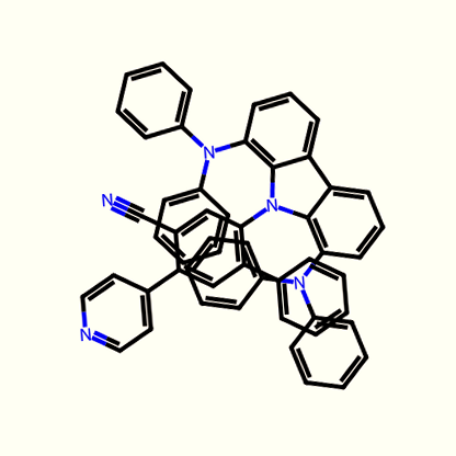 N#Cc1cc(-n2c3c(N(c4ccccc4)c4ccccc4)cccc3c3cccc(N(c4ccccc4)c4ccccc4)c32)c(-c2ccccc2)cc1-c1ccncc1